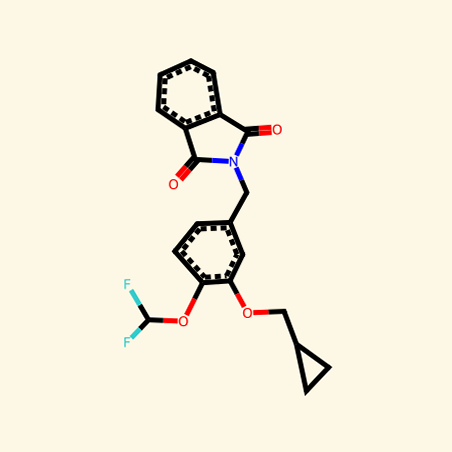 O=C1c2ccccc2C(=O)N1Cc1ccc(OC(F)F)c(OCC2CC2)c1